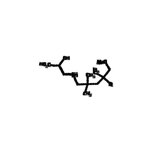 CCC(C)(COC)CC(C)(C)CNCC(O)C(=O)O